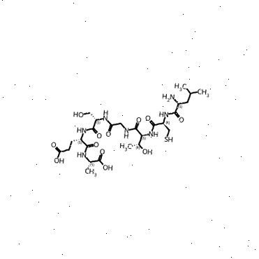 CC(C)C[C@H](N)C(=O)N[C@@H](CS)C(=O)N[C@H](C(=O)NCC(=O)N[C@@H](CO)C(=O)N[C@@H](CCC(=O)O)C(=O)N[C@@H](C)C(=O)O)[C@@H](C)O